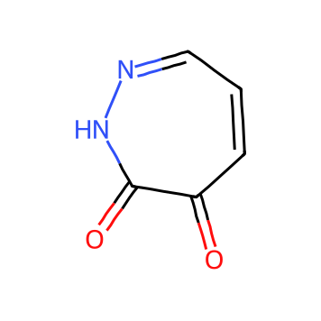 O=c1cccn[nH]c1=O